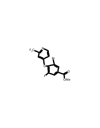 COC(=O)c1cc(F)c(Oc2ccnc(C(F)(F)F)c2)c(Br)c1